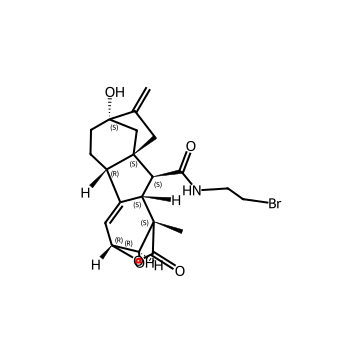 C=C1C[C@]23C[C@@]1(O)CC[C@H]2C1=C[C@H]2OC(=O)[C@@](C)([C@H]1[C@@H]3C(=O)NCCBr)[C@H]2O